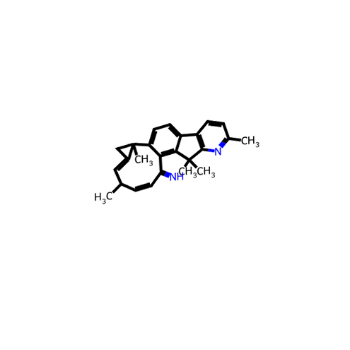 Cc1ccc2c(n1)C(C)(C)c1c-2ccc2c1C(=N)/C=C\C(C)/C=C1\CC12C